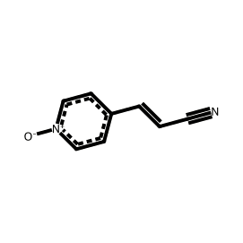 N#CC=Cc1cc[n+]([O-])cc1